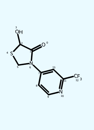 O=C1C(O)SCN1c1ccnc(C(F)(F)F)c1